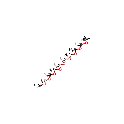 C[SiH](C)O[SiH2]O[SiH2]O[SiH2]O[SiH2]O[SiH2]O[SiH2]O[SiH2]O[SiH2]O[SiH3]